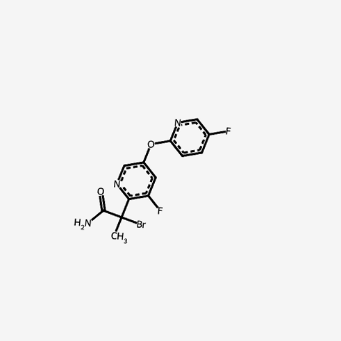 CC(Br)(C(N)=O)c1ncc(Oc2ccc(F)cn2)cc1F